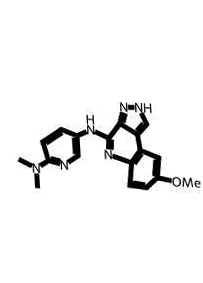 COc1ccc2nc(Nc3ccc(N(C)C)nc3)c3n[nH]cc3c2c1